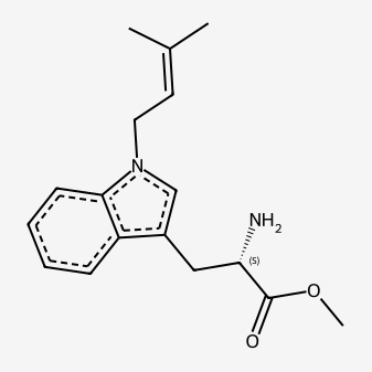 COC(=O)[C@@H](N)Cc1cn(CC=C(C)C)c2ccccc12